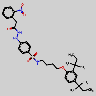 CCC(C)(C)c1ccc(OCCCCNS(=O)(=O)c2ccc(NNC(=O)Cc3ccccc3[N+](=O)[O-])cc2)c(C(C)(C)CC)c1